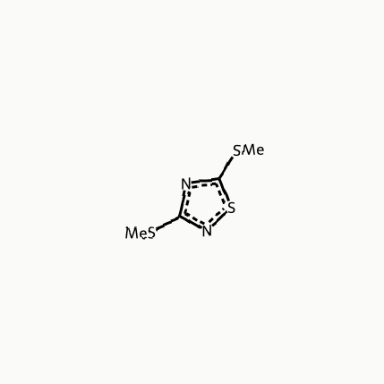 CSc1nsc(SC)n1